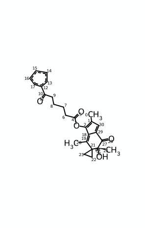 CC1=C(OC(=O)CCCCC(=O)c2ccccc2)C2=C(C)C3(CC3)[C@@](C)(O)C(=O)C2=C1